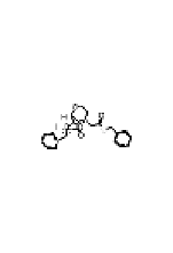 B[C@@H]1O[C@@]2(CC(=O)OCc3ccccc3)CCO[C@H]1C2C(=O)OCc1ccccc1